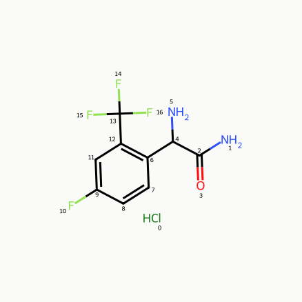 Cl.NC(=O)C(N)c1ccc(F)cc1C(F)(F)F